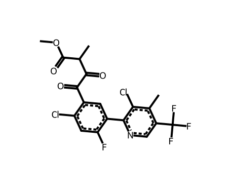 COC(=O)C(C)C(=O)C(=O)c1cc(-c2ncc(C(F)(F)F)c(C)c2Cl)c(F)cc1Cl